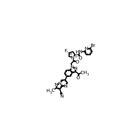 CC(=O)c1nn(CC(=O)N2C[C@H](F)C[C@H]2C(=O)Nc2cccc(Br)n2)c2ccc(-c3cnc4c(C#N)c(C)nn4c3)cc12